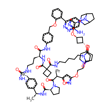 CC(C)C(C(=O)N1CCC[C@H]1C(=O)N[C@@H](C)c1ccc(C#N)cc1)c1cc(OCCN2CCC(O[C@H]3C[C@H](Oc4cc(N5C6CCC5CN(c5cc(-c7ccccc7OCc7ccc(NC(=O)[C@H](CCCNC(N)=O)NC(=O)C8(C(=O)NCCCCCN9C(=O)CCC9=O)CCC8)cc7)nnc5N)C6)ccn4)C3)CC2)no1